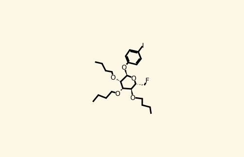 CCCCO[C@@H]1[C@H](OCCCC)[C@@H](Oc2ccc(I)cc2)O[C@H](CF)[C@H]1OCCCC